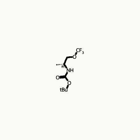 C[C@H](COC(F)(F)F)NC(=O)OC(C)(C)C